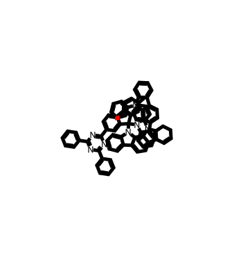 Cc1ccc2c(c1)C(n1c3ccccc3c3ccc4c5c(n(-c6ccccc6)c4c31)CCC=C5)(n1c3ccccc3c3ccc4c5ccccc5n(-c5ccccc5)c4c31)c1cc(-c3nc(-c4ccccc4)nc(-c4ccccc4)n3)ccc1-2